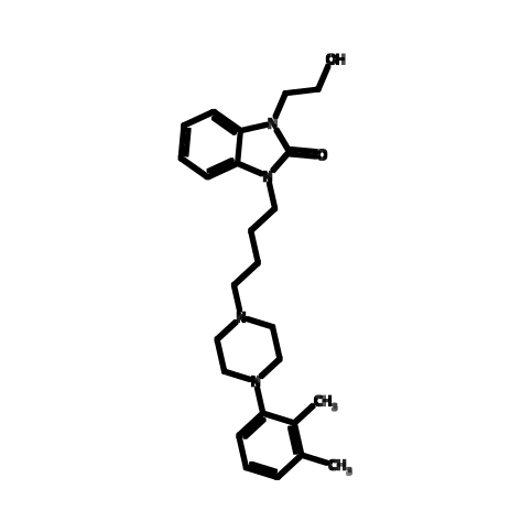 Cc1cccc(N2CCN(CCCCn3c(=O)n(CCO)c4ccccc43)CC2)c1C